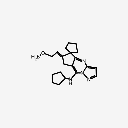 BOC/C=C1\Cc2c(nc3ccnn3c2NC2CCCC2)C12CCCC2